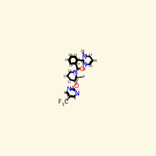 C[C@H]1[C@H](Oc2ncc(C(F)(F)F)cn2)CCCN1C(=O)c1ccccc1C1=NC=CCN1C